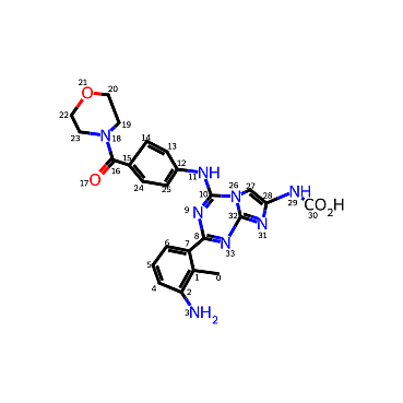 Cc1c(N)cccc1-c1nc(Nc2ccc(C(=O)N3CCOCC3)cc2)n2cc(NC(=O)O)nc2n1